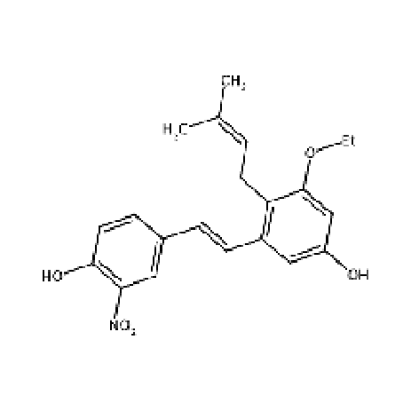 CCOc1cc(O)cc(C=Cc2ccc(O)c([N+](=O)[O-])c2)c1CC=C(C)C